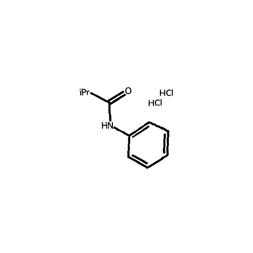 CC(C)C(=O)Nc1ccccc1.Cl.Cl